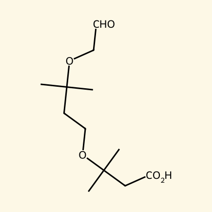 CC(C)(CCOC(C)(C)CC(=O)O)OCC=O